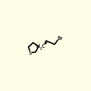 C1CCSC1.C=CCBr